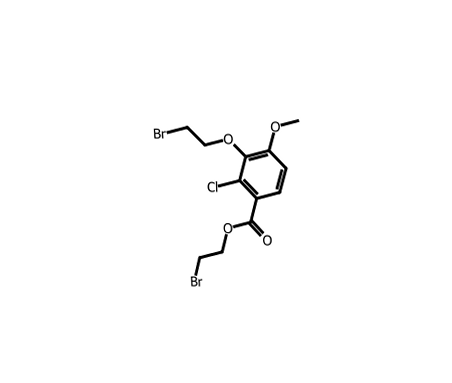 COc1ccc(C(=O)OCCBr)c(Cl)c1OCCBr